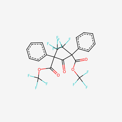 O=C(OC(F)(F)F)C(C(=O)C(C(=O)OC(F)(F)F)(c1ccccc1)C(F)(F)F)(c1ccccc1)C(F)(F)F